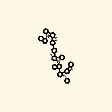 c1ccc(-n2c3cc4sc5ccccc5c4cc3c3c(-c4ccc(-n5c6ccccc6c6c7c(ccc65)sc5cc(-c6ccc8c(c6)sc6ccc9c%10ccccc%10n(-c%10cccc%11ccccc%10%11)c9c68)ccc57)c5ccccc45)cccc32)cc1